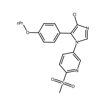 CCCOc1ccc(-c2c(Cl)ncn2-c2ccc(S(C)(=O)=O)nc2)cc1